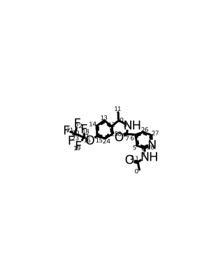 CC(=O)Nc1cc(C(=O)NC(C)c2ccc(OC(F)(F)C(F)(F)F)cc2)ccn1